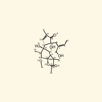 C/C=C(/CO)C[C@]1(O)C(=O)C(C)=C[C@H]1[C@]1(O)CC2C(C)(C)[C@]2(OC(C)=O)[C@H](OC)[C@H]1C